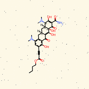 CCCCOC(=O)C#Cc1cc(N(C)C)c2c(c1O)C(=O)C1=C(O)[C@@]3(O)C(=O)C(C(N)=O)=C(O)[C@H](N(C)C)[C@H]3C[C@H]1C2